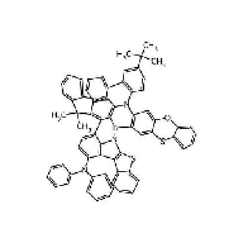 CC(C)(C)c1ccc(N2c3cc4c(cc3B3c5c2cc2c(c5-c5ccc(N(c6ccccc6)c6ccccc6)c6c7c8ccccc8sc7n3c56)C(C)(C)c3ccccc3-2)Sc2ccccc2O4)c(-c2ccccc2)c1